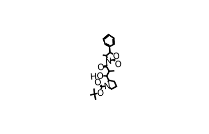 CC(C(=O)N1C(=O)OC(c2ccccc2)C1C)C(O)C1CCCN1C(=O)OC(C)(C)C